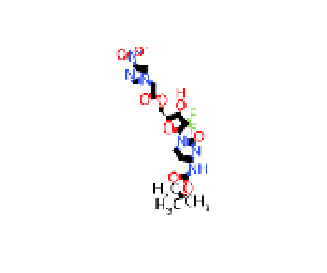 CC(C)(C)OC(=O)Nc1ccn([C@@H]2O[C@H](COC(=O)Cn3cnc([N+](=O)[O-])c3)[C@H](O)C2(F)F)c(=O)n1